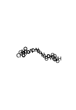 O=C1CC[C@H](N2Cc3c(ccc4c3OCC43CCN(C4CC5(CCN(CC6CCN(c7ccc8c(c7)C7(CCCCC7)c7nc(=O)c9c(Cl)cccc9n7-8)CC6)CC5)C4)CC3)C2=O)C(=O)N1